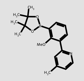 COc1c(B2OC(C)(C)C(C)(C)O2)cccc1-c1cc(C)ccn1